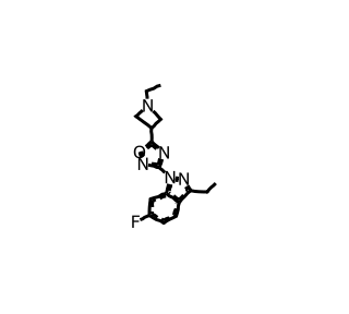 CCc1nn(-c2noc(C3CN(CC)C3)n2)c2cc(F)ccc12